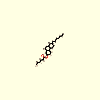 CCCCCCCC1CCC2C(CCC3CC(OC(=O)CCCCC)CCC32)C1